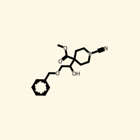 COC(=O)C1(C(O)COCc2ccccc2)CCB(C#N)CC1